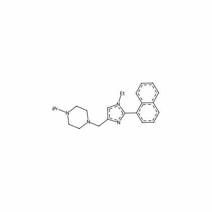 CCn1cc(CN2CCN(C(C)C)CC2)nc1-c1cccc2ccccc12